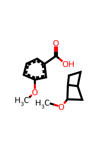 COC1CC2CCC21.COc1cccc(C(=O)O)c1